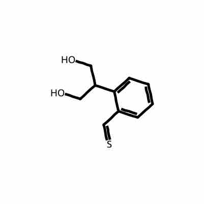 OCC(CO)c1ccccc1C=S